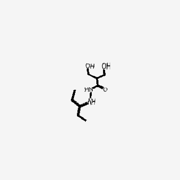 CCC(CC)NNC(=O)C(CO)CO